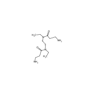 CCN(SSN(CC)C(=O)CCN)C(=O)CCN